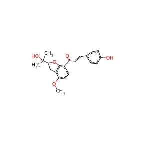 COc1ccc(C(=O)C=Cc2ccc(O)cc2)c2c1CC(C(C)(C)O)O2